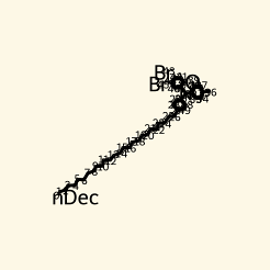 CCCCCCCCCCCCCCCCCCCCCCCCCCCCCCCCCCCCc1ccc(N2c3ccc(C)cc3Oc3cc(Br)c(Br)cc32)cc1